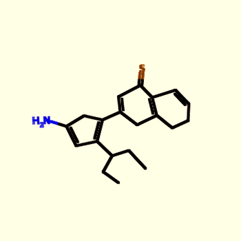 CCC(CC)C1=C(C2=CC(=S)C3=C(CCC=C3)C2)CC(N)=C1